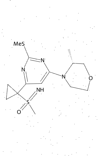 CSc1nc(N2CCOC[C@H]2C)cc(C2(S(C)(=N)=O)CC2)n1